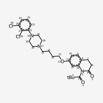 CC(C)(C)C(=O)N1C(=O)CCc2ccc(OCCCCN3CCN(c4cccc(Cl)c4Cl)CC3)cc21